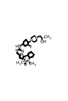 C[C@H](O)CN1CCN(c2ccc(Nc3ncc4ccc(-c5ccccc5N(C)S(C)(=O)=O)n4n3)cc2F)CC1